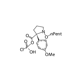 CCCCCON1CCC[C@]1(C(=O)OP(=O)(O)Cl)c1ccc(OC)cc1